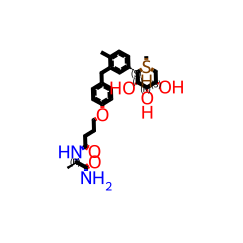 Cc1ccc([C@H]2[C@H](O)[C@H](O)[C@H](O)C[SH]2C)cc1Cc1ccc(OCCCC(=O)N[C@H](C)C(N)=O)cc1